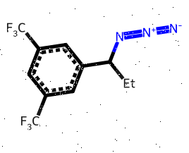 CCC(N=[N+]=[N-])c1cc(C(F)(F)F)cc(C(F)(F)F)c1